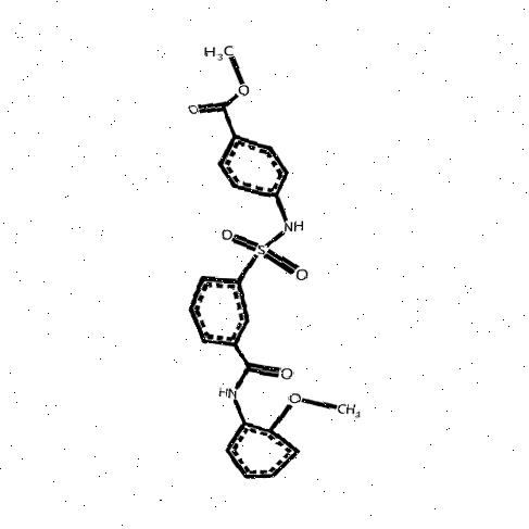 COC(=O)c1ccc(NS(=O)(=O)c2cccc(C(=O)Nc3ccccc3OC)c2)cc1